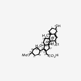 CCC1C=C2CC(O)CC[C@]2(C)[C@@H]2CC[C@]3(C)C(C4CCC(OC)CC4)=C(CC(=O)O)C[C@H]3[C@H]12